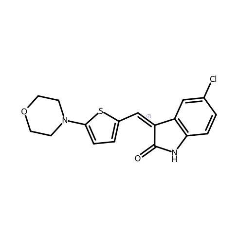 O=C1Nc2ccc(Cl)cc2/C1=C/c1ccc(N2CCOCC2)s1